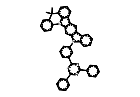 CC1(C)c2ccccc2-n2c3cc4c(cc3c3cccc1c32)c1ccccc1n4-c1cccc(-c2nc(-c3ccccc3)nc(-c3ccccc3)n2)c1